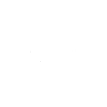 O=P1(O)OCCC(C(C(F)(F)F)C(F)(F)F)O1